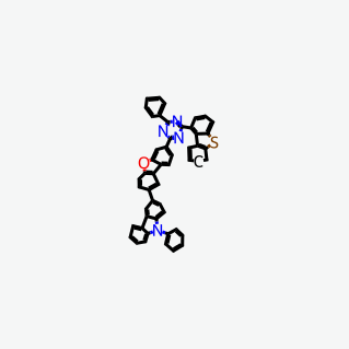 C1=Cc2c(sc3cccc(-c4nc(-c5ccccc5)nc(-c5ccc6c(c5)oc5ccc(-c7ccc8c(c7)c7ccccc7n8-c7ccccc7)cc56)n4)c23)CC1